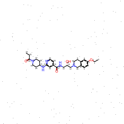 CCOc1ccc2c(c1)CCN(C[C@@H](O)CNC(=O)c1ccnc(NC3CCN(C(=O)CC)CC3)c1)C2